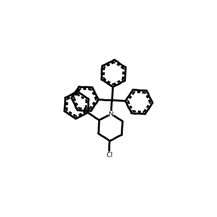 ClC1CCN(C(c2ccccc2)(c2ccccc2)c2ccccc2)C(c2ccccc2)C1